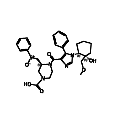 COC[C@]1(O)CCCC[C@H]1n1cnc(C(=O)N2CCN(C(=O)O)C[C@H]2C[S+]([O-])c2ccccc2)c1-c1ccccc1